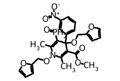 COC(=O)C1=C(C)N(OCc2ccco2)C(C)=C([PH2]=O)C1(OCc1ccco1)c1cccc([N+](=O)[O-])c1